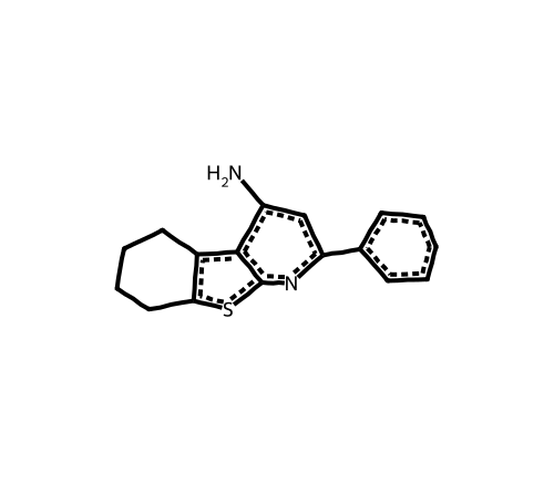 Nc1cc(-c2ccccc2)nc2sc3c(c12)CCCC3